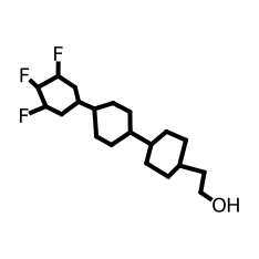 OCCC1CCC(C2CCC(C3CC(F)C(F)C(F)C3)CC2)CC1